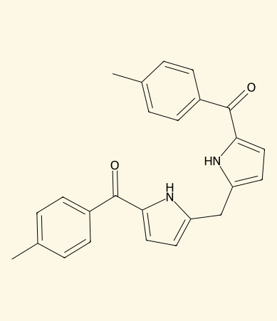 Cc1ccc(C(=O)c2ccc(Cc3ccc(C(=O)c4ccc(C)cc4)[nH]3)[nH]2)cc1